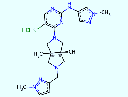 Cl.Cn1cc(Nc2ncc(Cl)c(N3C[C@]4(C)CN(Cc5ccn(C)n5)C[C@]4(C)C3)n2)cn1